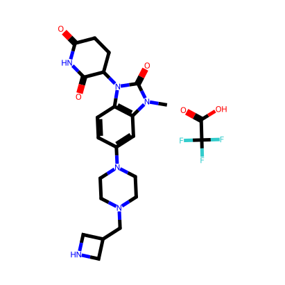 Cn1c(=O)n(C2CCC(=O)NC2=O)c2ccc(N3CCN(CC4CNC4)CC3)cc21.O=C(O)C(F)(F)F